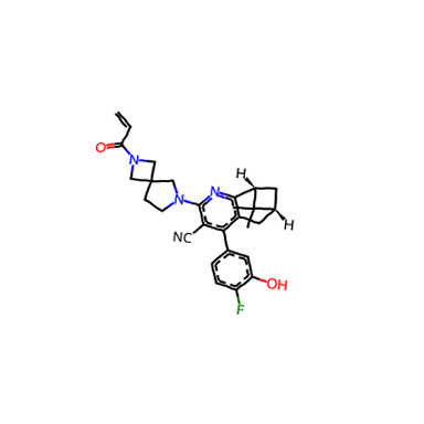 C=CC(=O)N1CC2(CCN(c3nc4c(c(-c5ccc(F)c(O)c5)c3C#N)C[C@H]3C[C@@H]4C3(C)C)C2)C1